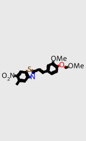 COCOc1ccc(/C=C/c2nc3cc(C)c([N+](=O)[O-])cc3s2)cc1OC